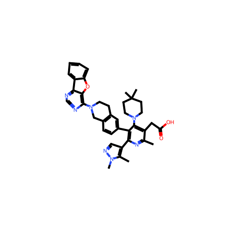 Cc1nc(-c2cnn(C)c2C)c(-c2ccc3c(c2)CCN(c2ncnc4c2oc2ccccc24)C3)c(N2CCC(C)(C)CC2)c1CC(=O)O